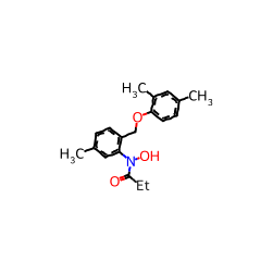 CCC(=O)N(O)c1cc(C)ccc1COc1ccc(C)cc1C